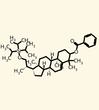 CC(C)[Si](OC[C@@H](C)[C@H]1CC[C@H]2[C@@H]3CC=C4C(C)(C)C(OC(=O)c5ccccc5)CC[C@]4(C)[C@H]3CC[C@]12C)(C(C)C)C(C)C